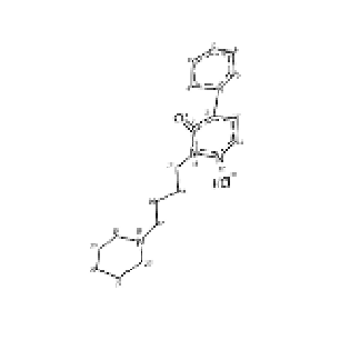 Cl.O=c1c(-c2ccccc2)ccnn1CCCCN1CCCCC1